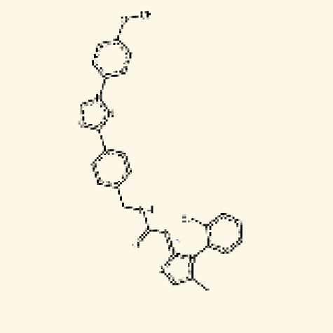 CCc1ccccc1-n1c(C)cs/c1=N\C(=O)NCc1ccc(-c2ncn(-c3ccc(OC(F)(F)F)cc3)n2)cc1